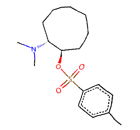 Cc1ccc(S(=O)(=O)O[C@@H]2CCCCCC[C@H]2N(C)C)cc1